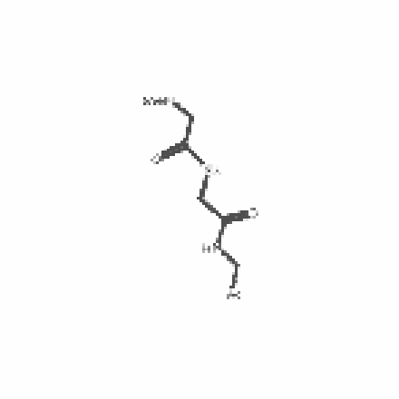 CNCC(=O)NCC(=O)NCC(C)=O